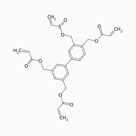 C=CC(=O)OCc1cc(COC(=O)C=C)cc(-c2ccc(COC(=O)C=C)c(COS(=O)C=C)c2)c1